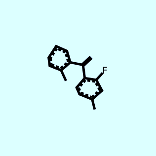 C=C(c1ccccc1C)c1ccc(C)cc1F